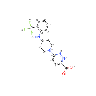 O=C(O)c1ccc(N2CCC(Nc3ccccc3C(F)(F)F)CC2)nn1